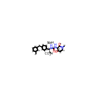 Cc1cccc(Cc2ccc([C@H](CC(=O)O)NC(=O)NC3C(=O)C=CN(C)C3=O)cc2)c1.[NaH]